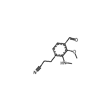 CNc1c(CCC#N)ccc(C=O)c1OC